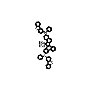 CC(C)(C)C1(C(C)(C)C)c2c(ccc3cc(N(c4ccccc4)c4ccc5sc6ccccc6c5c4)ccc23)-c2c1c1ccc(N(c3ccccc3)c3ccc4sc5ccccc5c4c3)cc1c1ccccc21